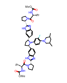 COC(=O)N[C@H](C(=O)N1CCC[C@H]1c1nc2ccc([C@H]3CC[C@H](c4ccc5nc([C@@H]6CCCN6C(=O)[C@@H](NC(=O)OC)C(C)C)[nH]c5c4)N3c3ccc(N4CC(C)CC(C)C4)c(F)c3)cc2[nH]1)C(C)C